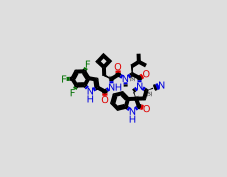 CC(C)C[C@@H](C(=O)N1C[C@]2(C[C@H]1C#N)C(=O)Nc1ccccc12)N(C)C(=O)[C@H](CC1CCC1)NC(=O)c1cc2c(F)cc(F)c(F)c2[nH]1